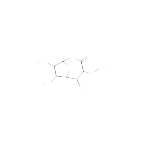 COC1C(=O)OC2OC(C1C)C(C)C2C